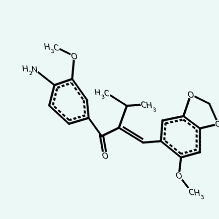 COc1cc(C(=O)/C(=C/c2cc3c(cc2OC)OCO3)C(C)C)ccc1N